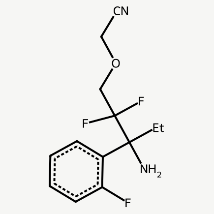 CCC(N)(c1ccccc1F)C(F)(F)COCC#N